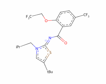 CC(C)Cn1cc(C(C)(C)C)s/c1=N\C(=O)c1cc(C(F)(F)F)ccc1OCC(F)(F)F